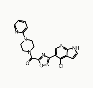 O=C(c1nc(-c2cnc3[nH]ccc3c2Cl)no1)N1CCN(c2ccccn2)CC1